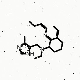 C/C=C1/CCCC(N(CC)Cc2[nH]cnc2C)/C1=N/C=C\CC